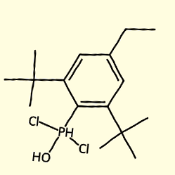 CCc1cc(C(C)(C)C)c([PH](O)(Cl)Cl)c(C(C)(C)C)c1